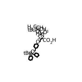 C[C@@H](O[Si](C)(C)C(C)(C)C)[C@H]1C(=O)N2C(C(=O)O)=C(COc3ccc(CO[Si](c4ccccc4)(c4ccccc4)C(C)(C)C)cc3)S[C@H]12